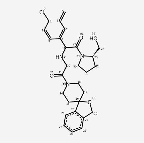 C=C/C=C(\C=C/CCl)C(NCC(=O)N1CCC2(CC1)OCc1ccccc12)C(=O)N1CCC[C@@H]1CO